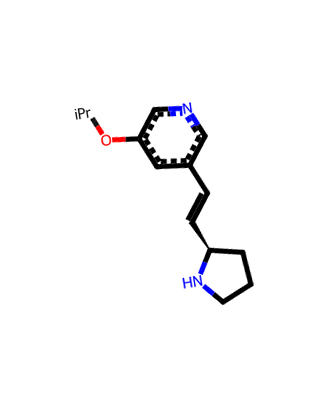 CC(C)Oc1cncc(C=C[C@H]2CCCN2)c1